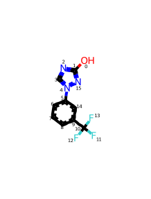 Oc1ncn(-c2cccc(C(F)(F)F)c2)n1